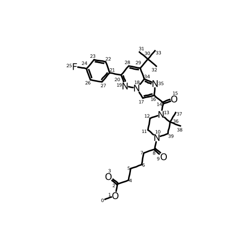 COC(=O)CCCCC(=O)N1CCN(C(=O)c2cn3nc(-c4ccc(F)cc4)cc(C(C)(C)C)c3n2)C(C)(C)C1